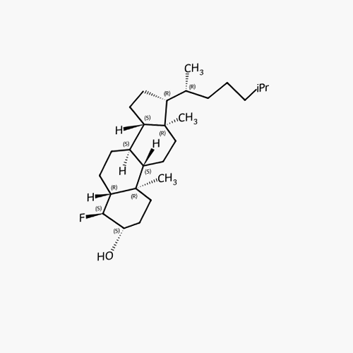 CC(C)CCC[C@@H](C)[C@H]1CC[C@H]2[C@@H]3CC[C@H]4[C@H](F)[C@@H](O)CC[C@]4(C)[C@H]3CC[C@]12C